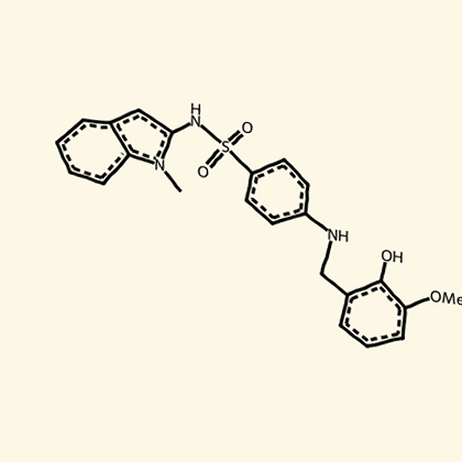 COc1cccc(CNc2ccc(S(=O)(=O)Nc3cc4ccccc4n3C)cc2)c1O